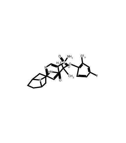 CC(C)(Oc1ccc(F)cc1C(F)(F)F)C(=O)NC1CC2CCC(C1)N2c1ccc(S(N)(=O)=O)cn1